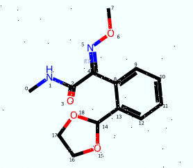 CNC(=O)/C(=N/OC)c1ccccc1C1OCCO1